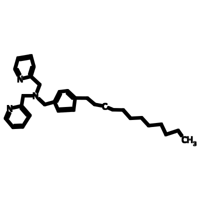 CCCCCCCCCCCCc1ccc(CN(Cc2ccccn2)Cc2ccccn2)cc1